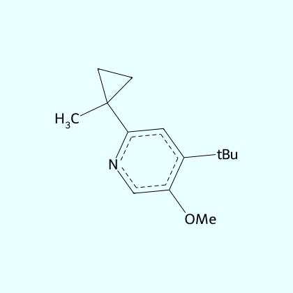 COc1cnc(C2(C)CC2)cc1C(C)(C)C